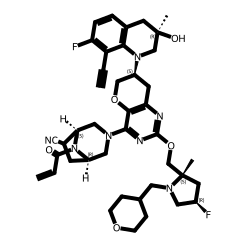 C#Cc1c(F)ccc2c1N([C@@H]1COc3c(nc(OC[C@]4(C)C[C@@H](F)CN4CC4CCOCC4)nc3N3C[C@H]4CC(C#N)[C@@H](C3)N4C(=O)C=C)C1)C[C@](C)(O)C2